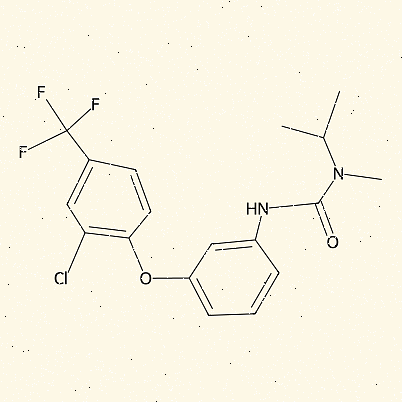 CC(C)N(C)C(=O)Nc1cccc(Oc2ccc(C(F)(F)F)cc2Cl)c1